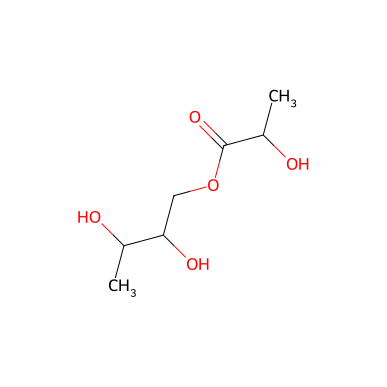 CC(O)C(=O)OCC(O)C(C)O